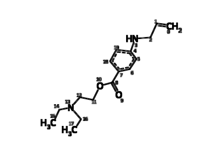 C=CCNc1ccc(C(=O)OCCN(CC)CC)cc1